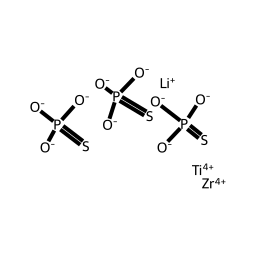 [Li+].[O-]P([O-])([O-])=S.[O-]P([O-])([O-])=S.[O-]P([O-])([O-])=S.[Ti+4].[Zr+4]